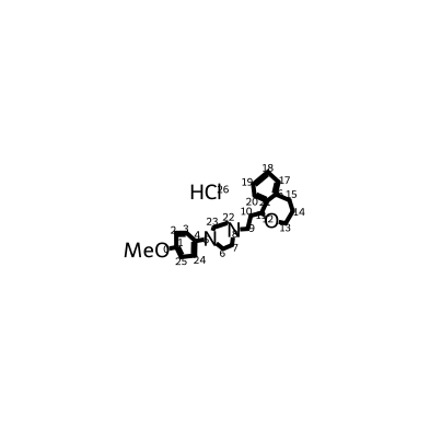 COc1ccc(N2CCN(CCC3OCCCc4ccccc43)CC2)cc1.Cl